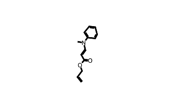 C=CCOC(=O)C=CN(C)c1ccccc1